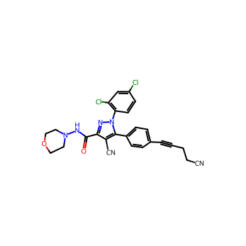 N#CCCC#Cc1ccc(-c2c(C#N)c(C(=O)NN3CCOCC3)nn2-c2ccc(Cl)cc2Cl)cc1